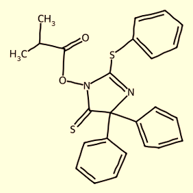 CC(C)C(=O)ON1C(=S)C(c2ccccc2)(c2ccccc2)N=C1Sc1ccccc1